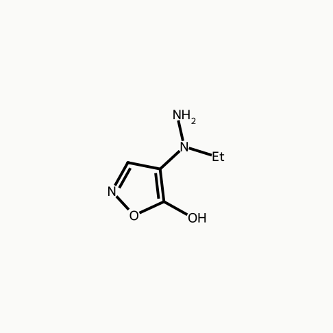 CCN(N)c1cnoc1O